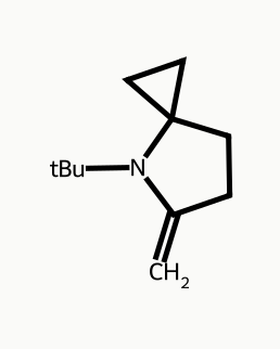 C=C1CCC2(CC2)N1C(C)(C)C